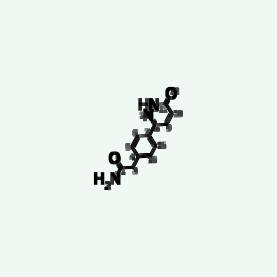 NC(=O)Cc1ccc(-c2ccc(=O)[nH]n2)cc1